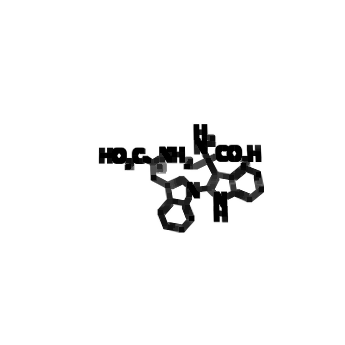 CC(N)(C(=O)O)c1c(-n2cc(C[C@H](N)C(=O)O)c3ccccc32)[nH]c2ccccc12